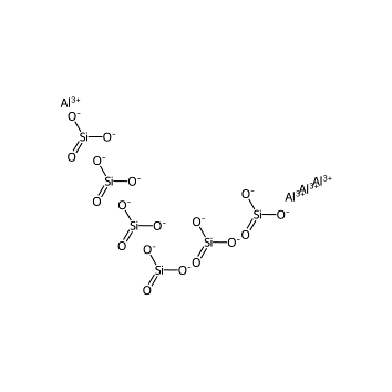 O=[Si]([O-])[O-].O=[Si]([O-])[O-].O=[Si]([O-])[O-].O=[Si]([O-])[O-].O=[Si]([O-])[O-].O=[Si]([O-])[O-].[Al+3].[Al+3].[Al+3].[Al+3]